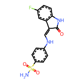 NS(=O)(=O)c1ccc(NC=C2C(=O)Nc3ccc(F)cc32)cc1